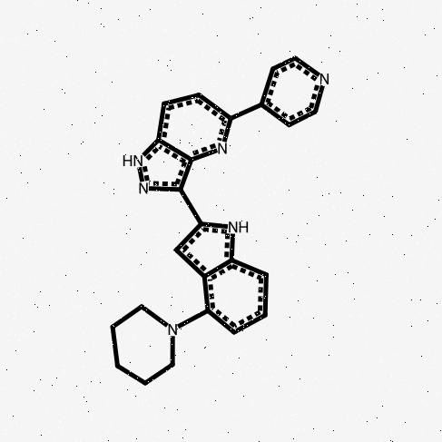 c1cc(N2CCCCC2)c2cc(-c3n[nH]c4ccc(-c5ccncc5)nc34)[nH]c2c1